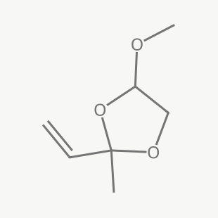 C=CC1(C)OCC(OC)O1